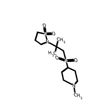 CN1CCC(S(=O)(=O)CC(C)(C)N2CCCS2(=O)=O)CC1